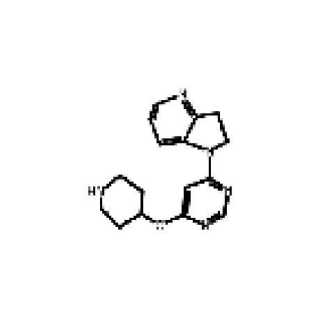 c1cnc2c(c1)N(c1cc(OC3CCNCC3)ncn1)CC2